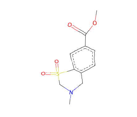 COC(=O)c1ccc2c(c1)S(=O)(=O)CN(C)C2